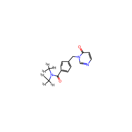 [2H]C([2H])([2H])N(C(=O)c1ccc(Cn2cnccc2=O)cc1)C([2H])([2H])[2H]